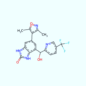 Cc1noc(C)c1-c1cc(C(O)c2ccc(C(F)(F)F)cn2)c2[nH]c(=O)[nH]c2c1